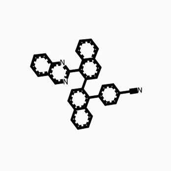 N#Cc1ccc(-c2c(-c3ccc4ccccc4c3-c3ncc4ccccc4n3)ccc3ccccc23)cc1